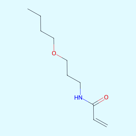 C=CC(=O)NCCCOCCCC